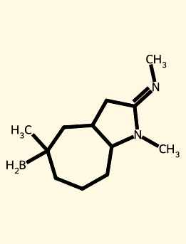 BC1(C)CCCC2C(C/C(=N\C)N2C)C1